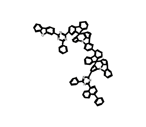 c1ccc(-c2nc(-c3ccc4c(c3)C3(c5ccccc5-4)c4ccccc4-n4c5ccc(-c6cccc7c6-c6ccccc6C76c7ccc(-c8nc(-c9ccccc9)nc(-c9ccc(-c%10ccccc%10)c%10ccccc9%10)n8)cc7-n7c8ccccc8c8cccc6c87)cc5c5cccc3c54)nc(-c3ccc4c(c3)oc3ccccc34)n2)cc1